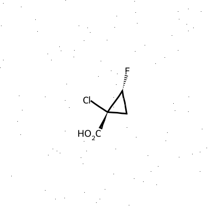 O=C(O)[C@]1(Cl)C[C@H]1F